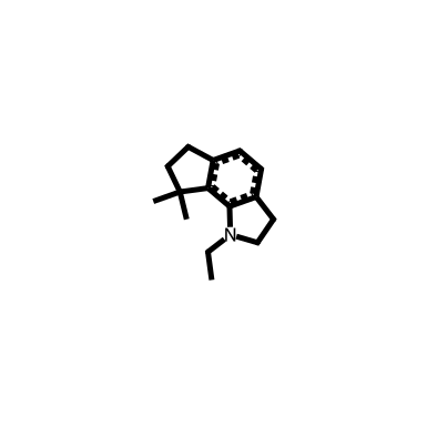 CCN1CCc2ccc3c(c21)C(C)(C)CC3